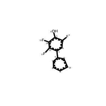 Oc1c(F)cc(-c2ccccc2)c(F)c1F